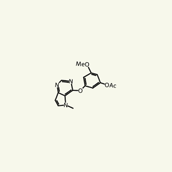 COc1cc(OC(C)=O)cc(Oc2ncnc3ccn(C)c23)c1